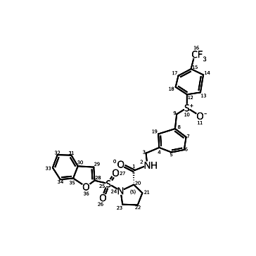 O=C(NCc1cccc(C[S+]([O-])c2ccc(C(F)(F)F)cc2)c1)[C@@H]1CCCN1S(=O)(=O)c1cc2ccccc2o1